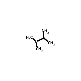 C[C](N)N(C)C